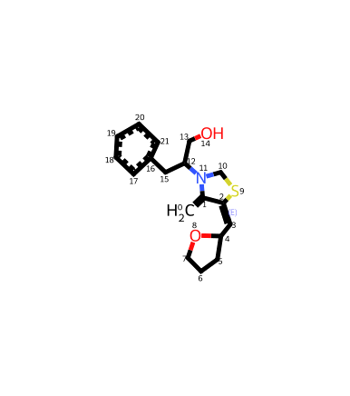 C=C1/C(=C\C2CCCO2)SCN1C(CO)Cc1ccccc1